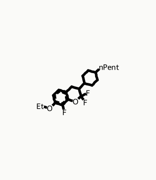 CCCCCC1CCC(C2Cc3ccc(OCC)c(F)c3OC2(F)F)CC1